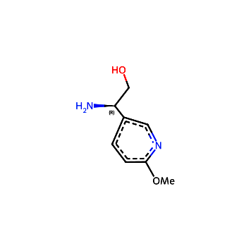 COc1ccc([C@@H](N)CO)cn1